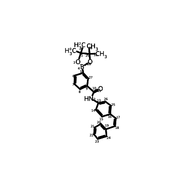 CC1(C)OB(c2cccc(C(=O)Nc3ccc(/C=C\c4ccccc4)cc3)c2)OC1(C)C